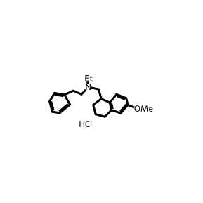 CCN(CCc1ccccc1)CC1CCCc2cc(OC)ccc21.Cl